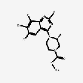 C[C@H]1CN(C(=O)OC(C)(C)C)CCN1c1nc(F)nc2c(F)c(Br)c(Cl)cc12